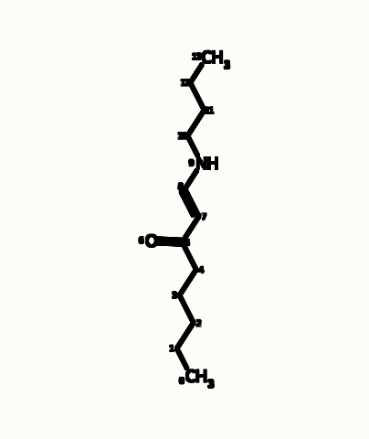 CCCCCC(=O)C=CNCCCC